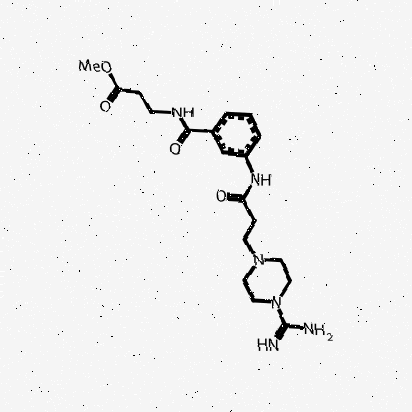 COC(=O)CCNC(=O)c1cccc(NC(=O)CCN2CCN(C(=N)N)CC2)c1